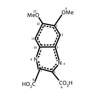 COc1cc2nc(C(=O)O)c(C(=O)O)nc2cc1OC